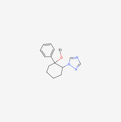 CCOC1(c2ccccc2)CCCCC1n1cncn1